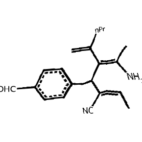 C=C(CCC)/C(=C(\C)N)C(/C(C#N)=C/C)c1ccc(C=O)cc1